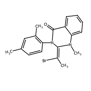 C/C(Br)=C1\N(C)c2ccccc2C(=O)N1c1ccc(C)cc1C